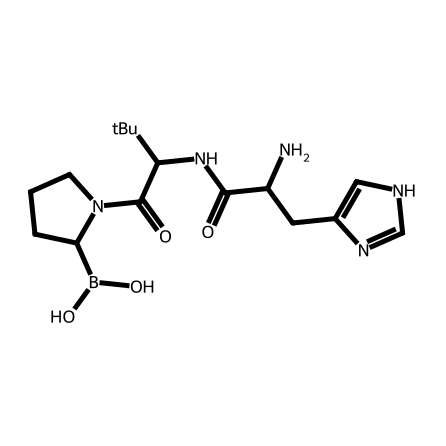 CC(C)(C)C(NC(=O)C(N)Cc1c[nH]cn1)C(=O)N1CCCC1B(O)O